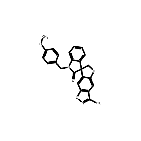 COc1ccc(CN2C(=O)C3(COc4cc5c(C)noc5cc43)c3ccccc32)cc1